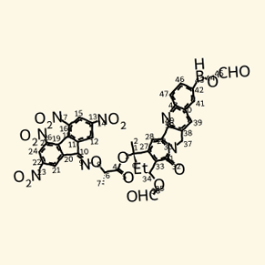 CC[C@](C)(OC(=O)[C@H](C)ON=C1c2cc([N+](=O)[O-])cc([N+](=O)[O-])c2-c2c1cc([N+](=O)[O-])cc2[N+](=O)[O-])c1cc2n(c(=O)c1COC=O)Cc1cc3cc(BOC=O)ccc3nc1-2